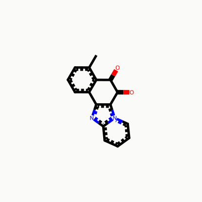 Cc1cccc2c1C(=O)C(=O)c1c-2nc2ccccn12